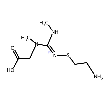 CN/C(=N\SCCN)N(C)CC(=O)O